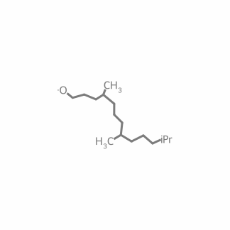 CC(C)CCCC(C)CCCC(C)CCC[O]